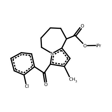 Cc1cc2n(c1C(=O)c1ccccc1Cl)CCCCC2C(=O)OC(C)C